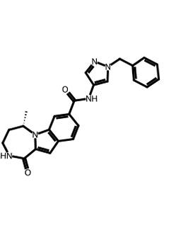 C[C@H]1CCNC(=O)c2cc3ccc(C(=O)Nc4cnn(Cc5ccccc5)c4)cc3n21